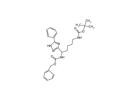 CC(C)(C)OC(=O)NCCCCC(NC(=O)OCc1ccccc1)c1n[nH]c(-c2ccccc2)n1